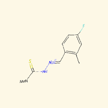 CNC(=S)N/N=C/c1ccc(F)cc1C